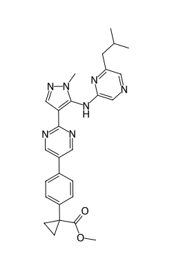 COC(=O)C1(c2ccc(-c3cnc(-c4cnn(C)c4Nc4cncc(CC(C)C)n4)nc3)cc2)CC1